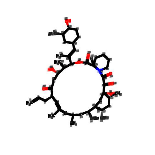 C=CC[C@@H]1/C=C(\C)C[C@H](C)C[C@H](OC)[C@H]2C[C@@](O)(C(=O)C(=O)N3CCCC[C@H]3C(=O)O[C@H](/C(C)=C/[C@@H]3CC[C@@H](O)[C@H](OC)C3)[C@H](C)[C@@H](O)CC1=O)[C@H](C)C[C@@H]2OC